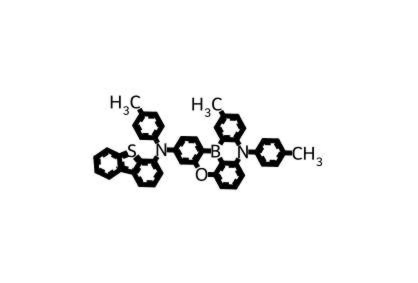 Cc1ccc(N2c3ccc(C)cc3B3c4ccc(N(c5ccc(C)cc5)c5cccc6c5sc5ccccc56)cc4Oc4cccc2c43)cc1